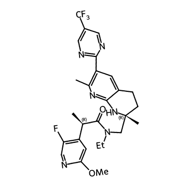 CCN(C[C@@]1(C)CCc2cc(-c3ncc(C(F)(F)F)cn3)c(C)nc2N1)C(=O)[C@H](C)c1cc(OC)ncc1F